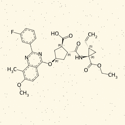 C=C[C@@H]1C[C@]1(NC(=O)[C@@H]1C[C@@H](Oc2nc(-c3cccc(F)c3)nc3c(C)c(OC)ccc23)C[C@H]1C(=O)O)C(=O)OCC